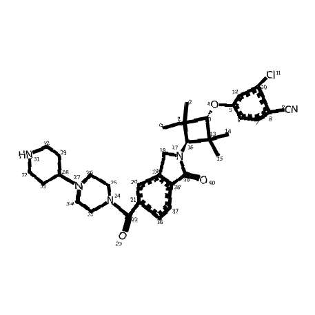 CC1(C)[C@H](Oc2ccc(C#N)c(Cl)c2)C(C)(C)[C@H]1N1Cc2cc(C(=O)N3CCN(C4CCNCC4)CC3)ccc2C1=O